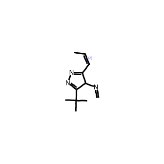 C=NC1C(/C=C\C)=NN=C1C(C)(C)C